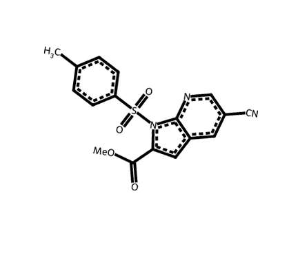 COC(=O)c1cc2cc(C#N)cnc2n1S(=O)(=O)c1ccc(C)cc1